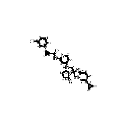 O=C(Nc1cc(NCC2(N3CCCC3=O)CN3C=C(C4CC4)C=CC3=N2)ccn1)[C@H]1C[C@@H]1c1cccc(Cl)c1